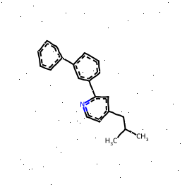 CC(C)Cc1ccnc(-c2cccc(-c3ccccc3)c2)c1